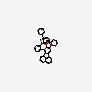 c1ccc(-c2nc(-c3ccccc3)nc(-c3ccccc3-c3c4c(cc5oc6ccccc6c35)-c3cccc5cccc-4c35)n2)cc1